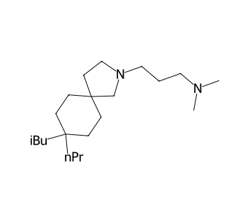 CCCC1(C(C)CC)CCC2(CCN(CCCN(C)C)C2)CC1